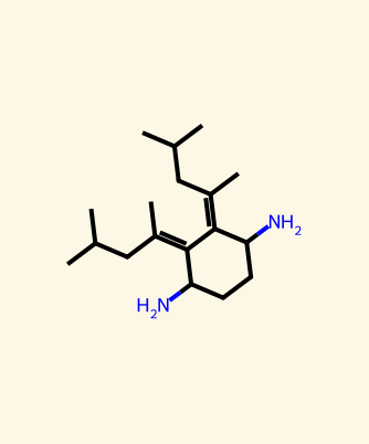 CC(CC(C)C)=C1C(=C(C)CC(C)C)C(N)CCC1N